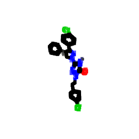 Cn1c(N2C[C@H](c3ccccc3)C(c3ccc(Cl)cc3)=N2)nn(CCc2ccc(Cl)cc2)c1=O